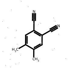 Cc1cc(C#N)c(C#N)cc1C